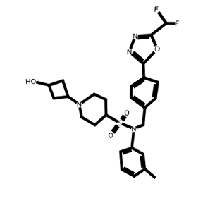 Cc1cccc(N(Cc2ccc(-c3nnc(C(F)F)o3)cc2)S(=O)(=O)C2CCN(C3CC(O)C3)CC2)c1